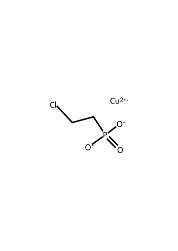 O=P([O-])([O-])CCCl.[Cu+2]